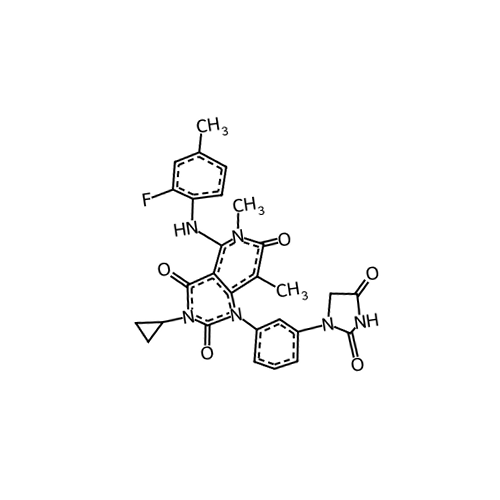 Cc1ccc(Nc2c3c(=O)n(C4CC4)c(=O)n(-c4cccc(N5CC(=O)NC5=O)c4)c3c(C)c(=O)n2C)c(F)c1